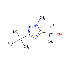 Cn1nc(C(C)(C)C)nc1C(C)(C)O